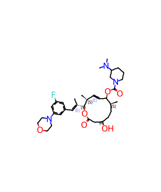 C/C(=C\c1cc(F)cc(N2CCOCC2)c1)[C@H]1OC(=O)C[C@H](O)CC[C@H](C)C(OC(=O)N2CCCC(N(C)C)C2)/C=C/[C@@H]1C